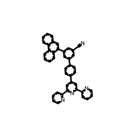 N#Cc1cc(-c2ccc(-c3cc(-c4ccccn4)nc(-c4ccccn4)c3)cc2)cc(-c2cc3ccccc3c3ccccc23)c1